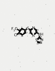 FC(F)(F)c1cc(Sc2cnc(Nc3nncs3)cn2)ccc1Cl